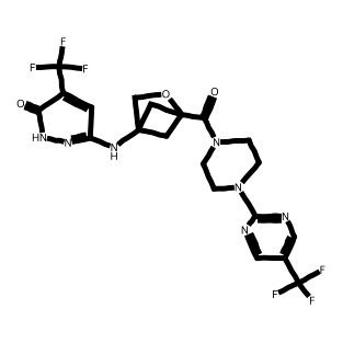 O=C(N1CCN(c2ncc(C(F)(F)F)cn2)CC1)C12CC(Nc3cc(C(F)(F)F)c(=O)[nH]n3)(CO1)C2